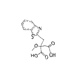 COC(Cc1nc2ccccc2s1)(C(=O)O)C(=O)O